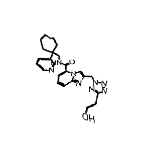 O=C(NCC1(c2cccnc2)CCCCC1)c1cccc2nc(Cn3nnc(CCO)n3)cn12